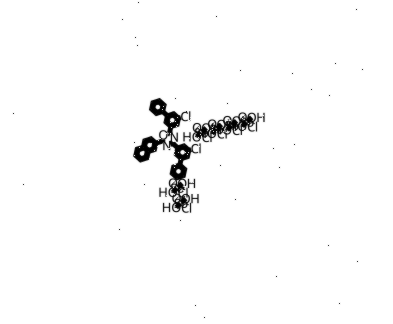 Clc1cc(-c2ccccc2)cc(-c2nc(-c3cc(Cl)cc(-c4ccccc4)c3)[o+]c(-c3ccc4ccccc4c3)n2)c1.[O]=[Sb]([OH])([OH])[Cl].[O]=[Sb]([OH])([OH])[Cl].[O]=[Sb]([OH])([OH])[Cl].[O]=[Sb]([OH])([OH])[Cl].[O]=[Sb]([OH])([OH])[Cl].[O]=[Sb]([OH])([OH])[Cl]